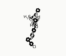 CN(C)CC[C@H](CSc1ccccc1)Nc1ccc(S(=O)(=O)NC(=O)c2ccc(N3CCN(Cc4ccccc4-c4ccc(Cl)cc4)CC3)cc2)cc1F